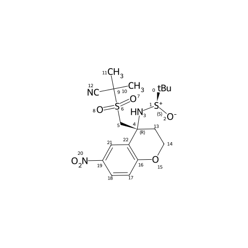 CC(C)(C)[S@@+]([O-])N[C@]1(CS(=O)(=O)C(C)(C)C#N)CCOc2ccc([N+](=O)[O-])cc21